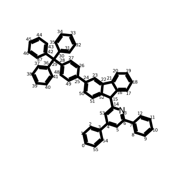 c1ccc(-c2cc(-c3ccccc3)nc(C3c4ccccc4-c4cc(-c5ccc(C(c6ccccc6)(c6ccccc6)c6ccccc6)cc5)ccc43)c2)cc1